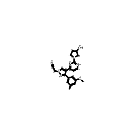 COc1cc(C)cc(-c2nn(CC#N)cc2-c2ccnc(N3CCC(O)C3)n2)c1